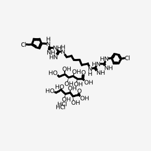 Cl.Cl.N=C(NCCCCCCNC(=N)NC(=N)Nc1ccc(Cl)cc1)NC(=N)Nc1ccc(Cl)cc1.O=C(O)[C@H](O)[C@@H](O)[C@H](O)[C@H](O)CO.O=C(O)[C@H](O)[C@@H](O)[C@H](O)[C@H](O)CO